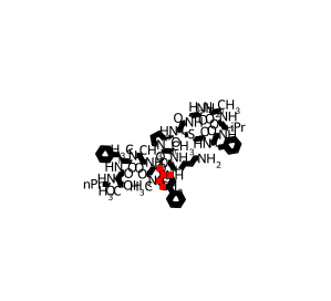 CCCC(=O)N[C@H](C(=O)N[C@@H](Cc1ccccc1)C(=O)N(C)[C@@H](C)C(=O)N[C@@H](Cc1ccc(-c2ccccc2)cc1)C(=O)N(C)[C@@H](C)C(=O)N[C@@H](CCCCN)C(=O)N[C@@H](C)C(=O)N1CCC[C@H]1C(=O)N[C@@H](CSCC(=O)N[C@@H](Cc1ccccc1)C(=O)N[C@H](C(=O)N[C@@H](C)C(N)=O)C(C)C)C(=O)NCC(N)=O)[C@@H](C)O